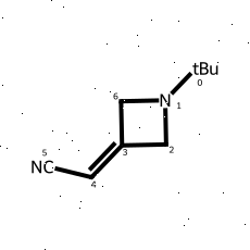 CC(C)(C)N1CC(=CC#N)C1